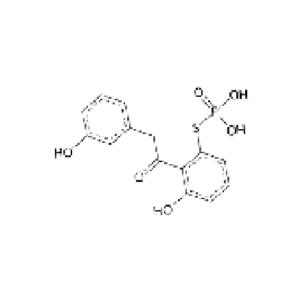 O=C(Cc1cccc(O)c1)c1c(O)cccc1SP(=O)(O)O